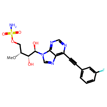 CO[C@H](COS(N)(=O)=O)[C@@H](O)[C@@H](O)n1cnc2c(C#Cc3cccc(F)c3)ncnc21